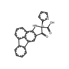 O=C(O)[C@@]1(c2cccs2)Nc2c(cc3c4c(cccc24)-c2ccccc2-3)C1=O